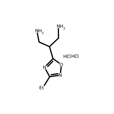 CCc1noc(C(CN)CN)n1.Cl.Cl